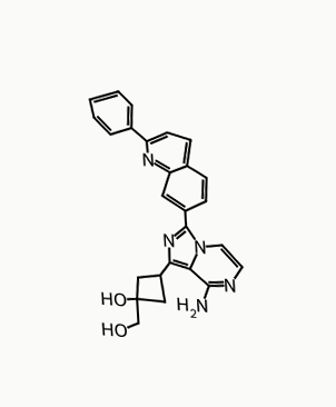 Nc1nccn2c(-c3ccc4ccc(-c5ccccc5)nc4c3)nc(C3CC(O)(CO)C3)c12